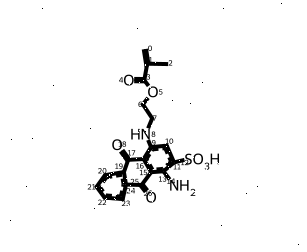 C=C(C)C(=O)OCCNc1cc(S(=O)(=O)O)c(N)c2c1C(=O)c1ccccc1C2=O